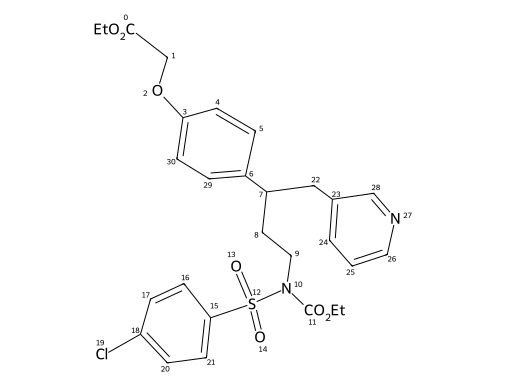 CCOC(=O)COc1ccc(C(CCN(C(=O)OCC)S(=O)(=O)c2ccc(Cl)cc2)Cc2cccnc2)cc1